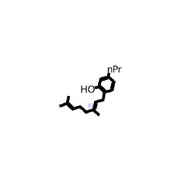 CCCc1ccc(C/C=C(\C)CCC=C(C)C)c(O)c1